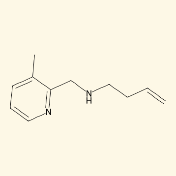 C=CCCNCc1ncccc1C